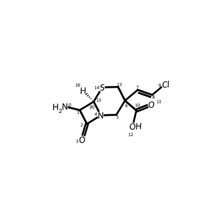 NC1C(=O)N2CC(C=CCl)(C(=O)O)CS[C@H]12